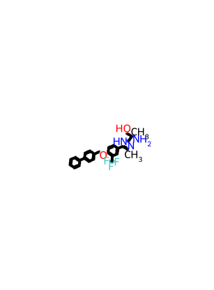 Cc1nc([C@@](C)(N)CO)[nH]c1-c1ccc(OCc2ccc(-c3ccccc3)cc2)c(C(F)(F)F)c1